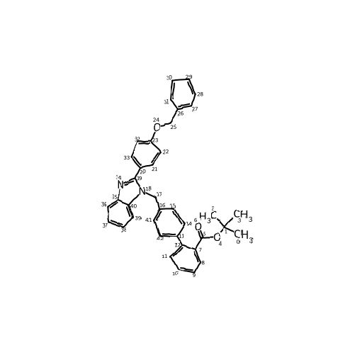 CC(C)(C)OC(=O)c1ccccc1-c1ccc(Cn2c(-c3ccc(OCc4ccccc4)cc3)nc3ccccc32)cc1